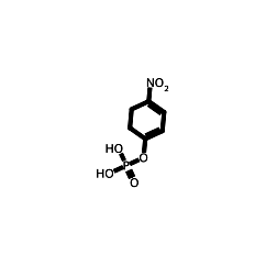 O=[N+]([O-])C1=CC=C(OP(=O)(O)O)CC1